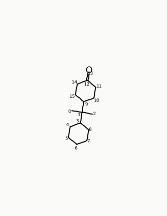 CC(C)(C1CCCCC1)C1CCC(=O)CC1